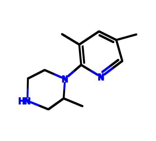 Cc1cnc(N2CCNCC2C)c(C)c1